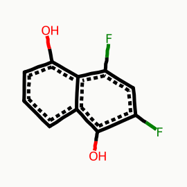 Oc1c(F)cc(F)c2c(O)cccc12